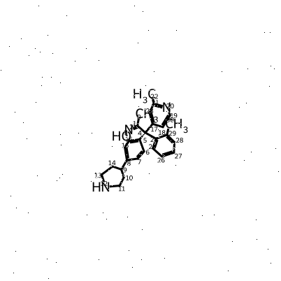 C/C(=N/O)[C@](c1ccc(C2CCNCC2)cc1)(c1ccnc(C)c1)c1ccccc1C